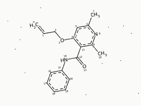 C=CCOc1cc(C)nc(C)c1C(=O)Nc1ccccc1